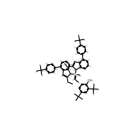 CC(C)(C)c1ccc(O)c(C(C)(C)C)c1.C[CH]=[Zr]([CH3])([CH]1C(CC)=Cc2c(-c3ccc(C(C)(C)C)cc3)cccc21)[CH]1C(CC)=Cc2c(-c3ccc(C(C)(C)C)cc3)cccc21